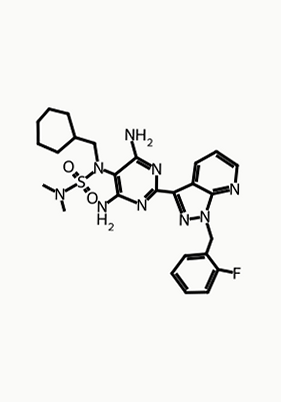 CN(C)S(=O)(=O)N(CC1CCCCC1)c1c(N)nc(-c2nn(Cc3ccccc3F)c3ncccc23)nc1N